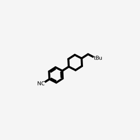 CC(C)(C)CC1CCC(c2ccc(C#N)cc2)CC1